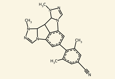 Cc1cc(C#N)cc(C)c1-c1cc2c3c(c1)N1C=NN(C)C1C3C1N(C)N=CN21